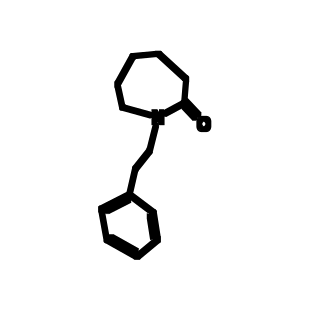 O=C1CCCCCN1CCc1ccccc1